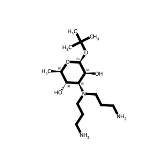 C[C@H]1O[C@@H](OC(C)(C)C)[C@@H](O)[C@@H](N(CCCN)CCCN)[C@@H]1O